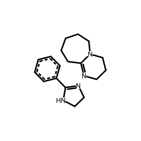 C1CCC2=NCCCN2CC1.c1ccc(C2=NCCN2)cc1